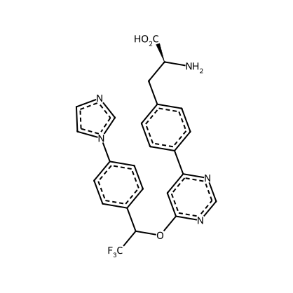 N[C@@H](Cc1ccc(-c2cc(OC(c3ccc(-n4ccnc4)cc3)C(F)(F)F)ncn2)cc1)C(=O)O